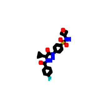 O=C(NC(C(=O)Nc1ccc(S(=O)(=O)NC2COC2)cc1)C1CC1)c1ccc(F)cc1